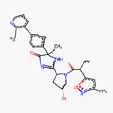 Cc1cc(C(C(=O)N2C[C@H](O)CC2C2=NC(=O)C(C)(c3ccc(-c4cccnc4C)cc3)N2)C(C)C)on1